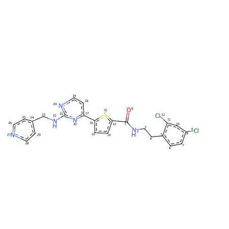 O=C(NCCc1ccc(Cl)cc1Cl)c1ccc(-c2ccnc(NCc3ccncc3)n2)s1